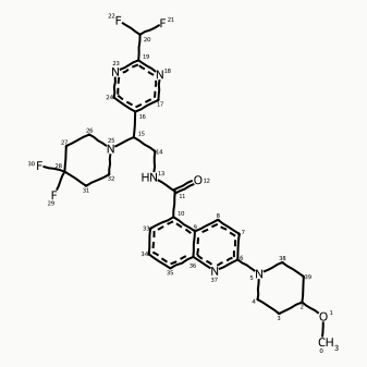 COC1CCN(c2ccc3c(C(=O)NCC(c4cnc(C(F)F)nc4)N4CCC(F)(F)CC4)cccc3n2)CC1